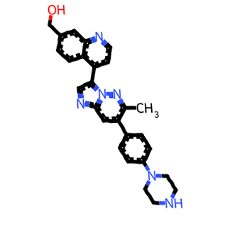 Cc1nn2c(-c3ccnc4cc(CO)ccc34)cnc2cc1-c1ccc(N2CCNCC2)cc1